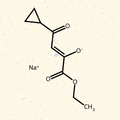 CCOC(=O)/C([O-])=C/C(=O)C1CC1.[Na+]